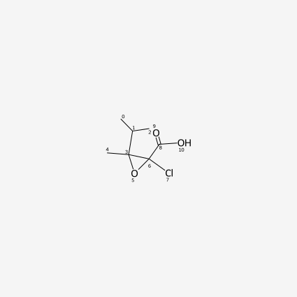 CC(C)C1(C)OC1(Cl)C(=O)O